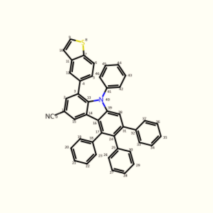 N#Cc1cc(-c2ccc3sccc3c2)c2c(c1)c1c(-c3ccccc3)c(-c3ccccc3)c(-c3ccccc3)cc1n2-c1ccccc1